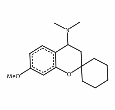 COc1ccc2c(c1)OC1(CCCCC1)CC2N(C)C